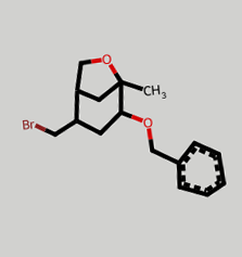 CC12CC(CO1)C(CBr)CC2OCc1ccccc1